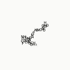 C#Cc1c(F)ccc2cc(N)cc(-c3ncc4c(N5CCC[C@@](C)(O)C5)nc(OCC5(CN6CCC7(CC6)CC(CN6CCN(c8ccc9c(c8)CN([C@H]8CCC(=O)NC8=O)C9=O)CC6)C7)CC5)nc4c3F)c12